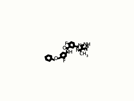 Cc1nc(-c2ccc(F)c(C(=O)Nc3ccc(COCc4ccccc4)c(F)c3)c2)nc2[nH]nnc12